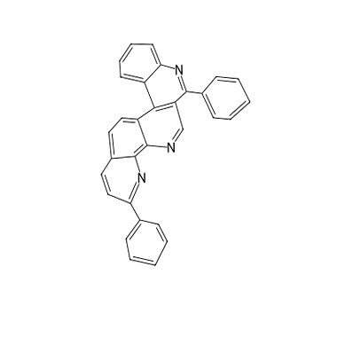 c1ccc(-c2ccc3ccc4c(ncc5c(-c6ccccc6)nc6ccccc6c54)c3n2)cc1